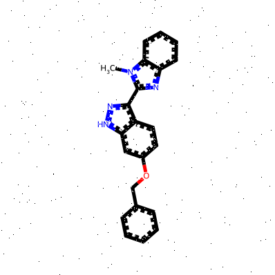 Cn1c(-c2n[nH]c3cc(OCc4ccccc4)ccc23)nc2ccccc21